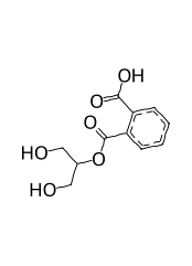 O=C(O)c1ccccc1C(=O)OC(CO)CO